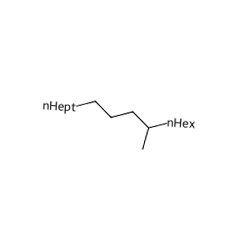 [CH2]CCCCCCCCCC(C)CCCCC[CH2]